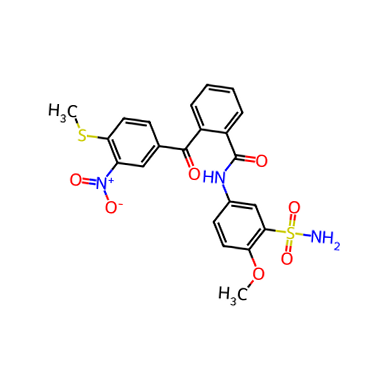 COc1ccc(NC(=O)c2ccccc2C(=O)c2ccc(SC)c([N+](=O)[O-])c2)cc1S(N)(=O)=O